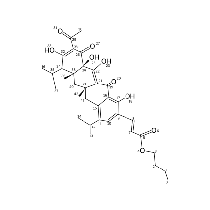 CCCCOC(=O)/C=C/c1cc(C(C)C)c2c(c1O)C(=O)C1=C(O)[C@@]3(O)C(=O)C(C(C)=O)=C(O)C(C(C)C)[C@@]3(C)C[C@@]1(C)C2